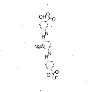 O=C([O-])c1cc(/N=N/c2ccc(/N=N/c3ccc(S(=O)(=O)[O-])cc3)cc2)ccc1O.[Na+].[Na+]